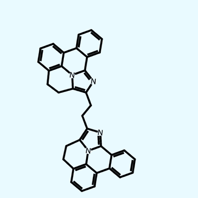 c1ccc2c(c1)c1cccc3c1n1c(c(CCc4nc5c6ccccc6c6cccc7c6n5c4CC7)nc21)CC3